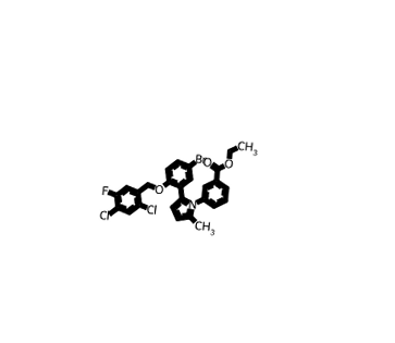 CCOC(=O)c1cccc(-n2c(C)ccc2-c2cc(Br)ccc2OCc2cc(F)c(Cl)cc2Cl)c1